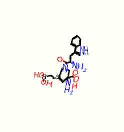 NC(Cc1c[nH]c2ccccc12)C(=O)N1C[C@@H](CCB(O)O)C[C@](N)(C(=O)O)C1